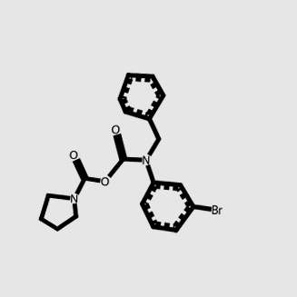 O=C(OC(=O)N(Cc1ccccc1)c1cccc(Br)c1)N1CCCC1